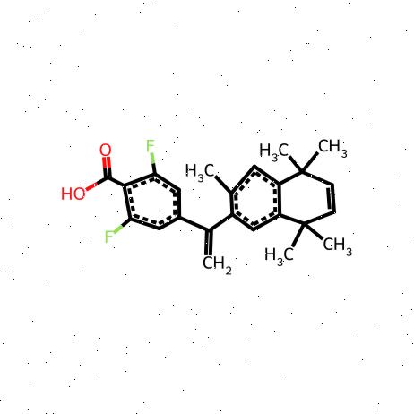 C=C(c1cc(F)c(C(=O)O)c(F)c1)c1cc2c(cc1C)C(C)(C)C=CC2(C)C